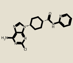 Nc1nc(Cl)nc2c1ncn2[C@H]1CC[C@@H](C(=O)Nc2ccccn2)CC1